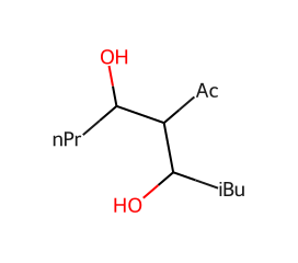 CCCC(O)C(C(C)=O)C(O)C(C)CC